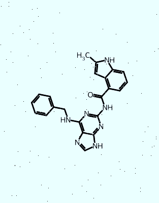 Cc1cc2c(C(=O)Nc3nc(NCc4ccccc4)c4nc[nH]c4n3)cccc2[nH]1